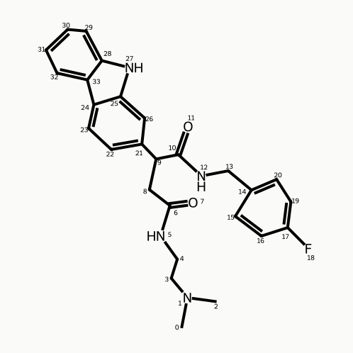 CN(C)CCNC(=O)CC(C(=O)NCc1ccc(F)cc1)c1ccc2c(c1)[nH]c1ccccc12